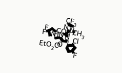 CCOC(=O)OC1=C(CN2CC(F)(F)C[C@H]2C(=O)O)NC(c2nc(C(F)(F)F)cn2C)=N[C@@H]1c1ccc(F)cc1Cl